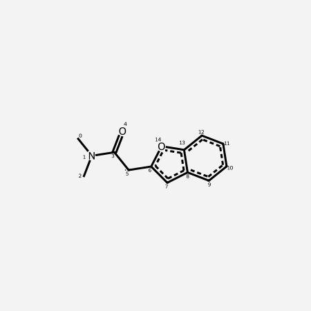 CN(C)C(=O)[CH]c1cc2ccccc2o1